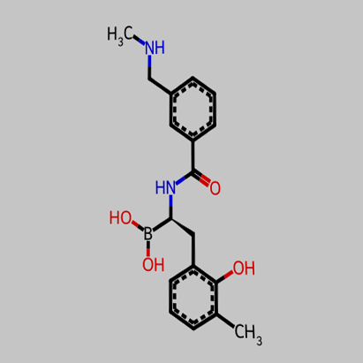 CNCc1cccc(C(=O)N[C@@H](Cc2cccc(C)c2O)B(O)O)c1